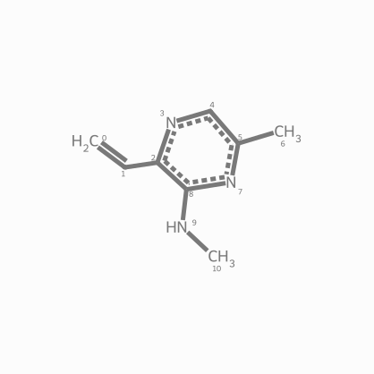 C=Cc1ncc(C)nc1NC